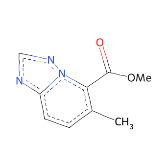 COC(=O)c1c(C)ccc2ncnn12